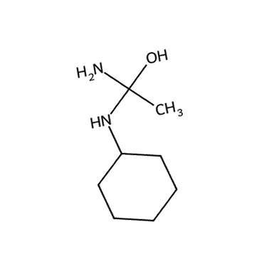 CC(N)(O)NC1CCCCC1